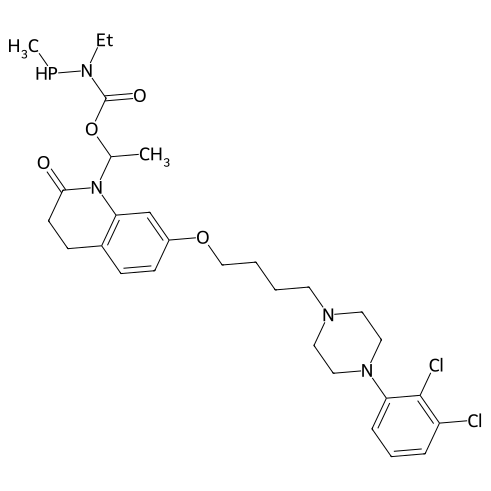 CCN(PC)C(=O)OC(C)N1C(=O)CCc2ccc(OCCCCN3CCN(c4cccc(Cl)c4Cl)CC3)cc21